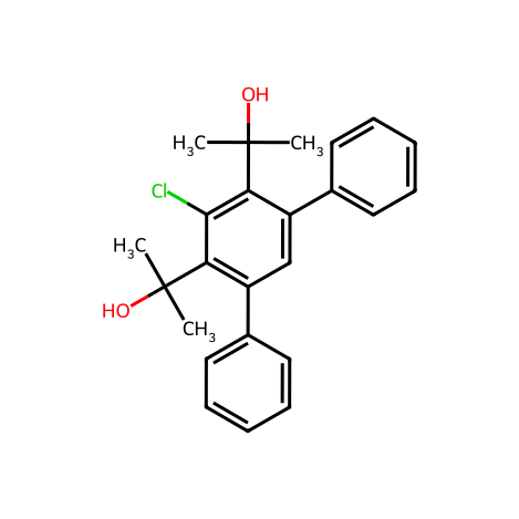 CC(C)(O)c1c(-c2ccccc2)cc(-c2ccccc2)c(C(C)(C)O)c1Cl